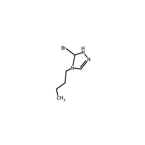 CCCCN1C=NNC1Br